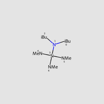 CCC(C)N(C(C)CC)[Si](NC)(NC)NC